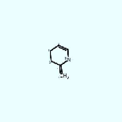 C=C1[CH]CC=CN1